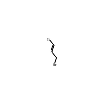 CC/[C]=N/CCC